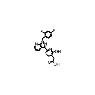 O=C(O)Cc1cnc(-c2nn(Cc3ccc(F)cc3F)c3ncccc23)nc1O